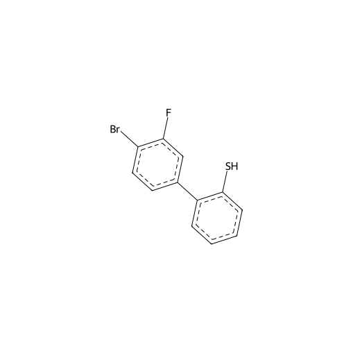 Fc1cc(-c2ccccc2S)ccc1Br